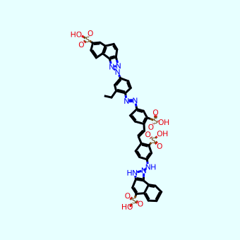 CCc1cc(-n2n3c4ccc5cc(S(=O)(=O)O)ccc5c4n23)ccc1N=Nc1ccc(C=Cc2ccc(Nn3[nH]c4cc(S(=O)(=O)O)c5ccccc5c43)cc2S(=O)(=O)O)c(S(=O)(=O)O)c1